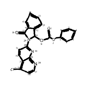 O=C(Oc1ccccc1)OC1c2ccccc2C(=O)N1c1ccc2c(Cl)ccnc2n1